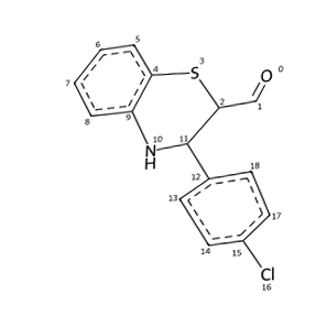 O=CC1Sc2ccccc2NC1c1ccc(Cl)cc1